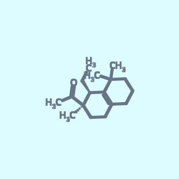 CC[C@H]1C2=C(CCCC2(C)C)CC[C@@]1(C)C(C)=O